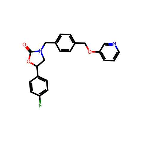 O=C1OC(c2ccc(F)cc2)CN1Cc1ccc(COc2cccnc2)cc1